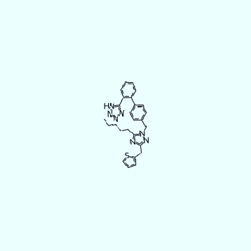 CCCCCc1nc(Cc2cccs2)nn1Cc1ccc(-c2ccccc2-c2nnn[nH]2)cc1